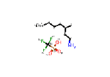 CCCCCCCCCCCCCC(C)CCN.O=S(=O)(O)C(F)(F)F